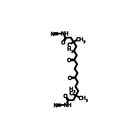 CC(C)(CCCC(=O)CCCC(=O)CCCC(C)(C)CC(=O)NC#N)CC(=O)NC#N